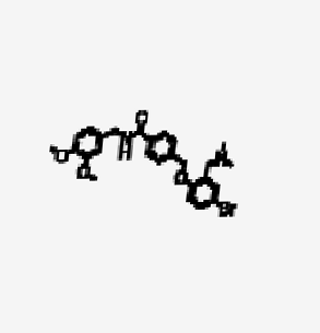 COc1ccc(CNC(=O)c2ccc(COc3ccc(Br)cc3CN(C)C)cc2)cc1OC